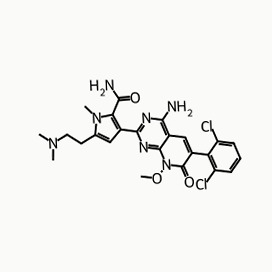 COn1c(=O)c(-c2c(Cl)cccc2Cl)cc2c(N)nc(-c3cc(CCN(C)C)n(C)c3C(N)=O)nc21